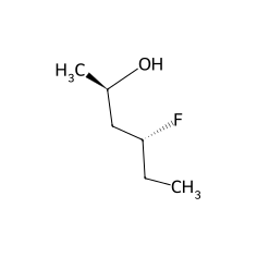 CC[C@@H](F)C[C@@H](C)O